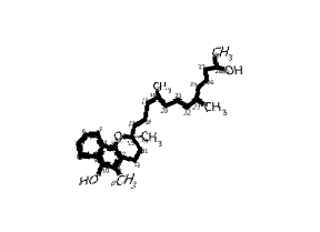 Cc1c2c(c3ccccc3c1O)O[C@@](C)(CCCC(C)CCCC(C)CCCC(C)O)CC2